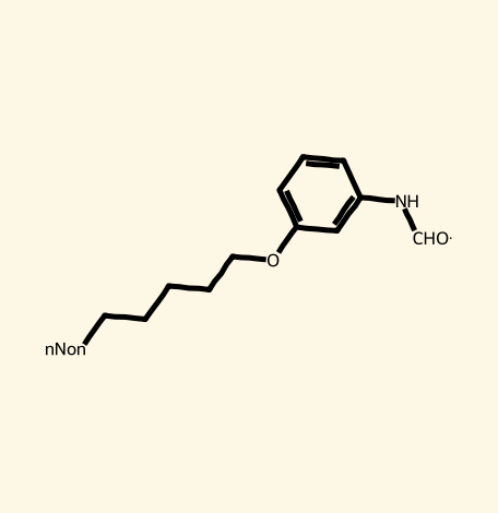 CCCCCCCCCCCCCCOc1cccc(N[C]=O)c1